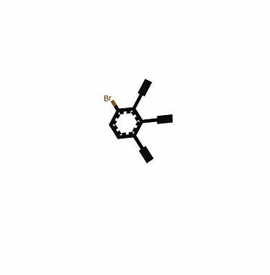 C#Cc1ccc(Br)c(C#C)c1C#C